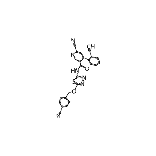 C#Cc1ccccc1-c1cc(C#N)ncc1C(=O)Nc1nnc(OCc2ccc(C#N)cc2)s1